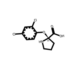 O=C(O)[C@]1(Oc2ccc(Cl)cc2Cl)CCCN1